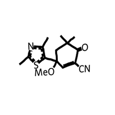 COC1(c2sc(C)nc2C)C=C(C#N)C(=O)C(C)(C)C1